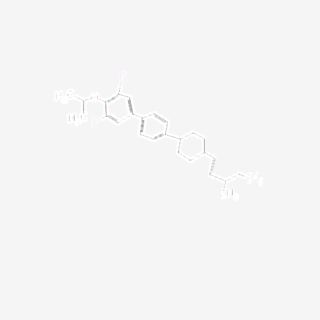 CCC(C)C=CC1CCC(c2ccc(-c3cc(F)c(OC(C)C)c(F)c3)cc2)CC1